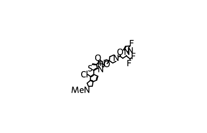 CNC1Cc2ccc(-c3scc4c(=O)n(CC5(O)CCN(C(=O)CC(C(F)F)n6ccc(F)n6)CC5)cnc34)c(Cl)c2C1